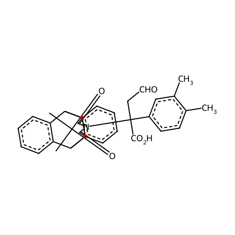 Cc1ccc(C(CC=O)(C(=O)O)N2C(=O)C3C4c5ccccc5C(c5ccccc54)C3C2=O)cc1C